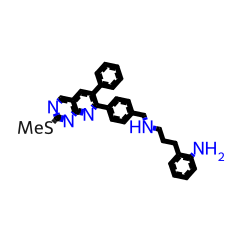 CSc1ncc2cc(-c3ccccc3)c(-c3ccc(CNCCCc4ccccc4N)cc3)nc2n1